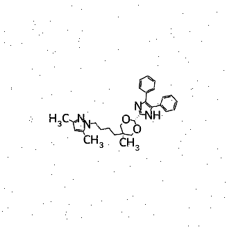 Cc1cc(C)n(CCCC[C@]2(C)CO[C@@H](c3nc(-c4ccccc4)c(-c4ccccc4)[nH]3)OC2)n1